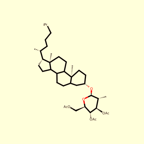 CC(=O)OC[C@H]1O[C@@H](O[C@H]2CC[C@@]3(C)C(CCC4C3CC[C@@]3(C)C4CC[C@@H]3[C@H](C)CCCC(C)C)C2)[C@H](C)[C@@H](OC(C)=O)[C@@H]1OC(C)=O